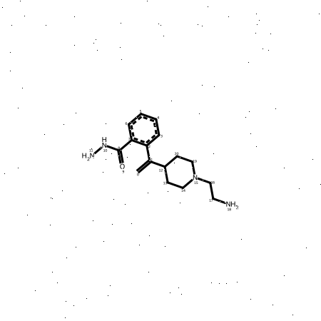 C=C(c1ccccc1C(=O)NN)C1CCN(CCN)CC1